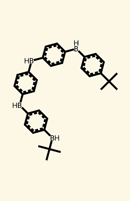 CC(C)(C)Bc1ccc(Bc2ccc(Bc3ccc(Bc4ccc(C(C)(C)C)cc4)cc3)cc2)cc1